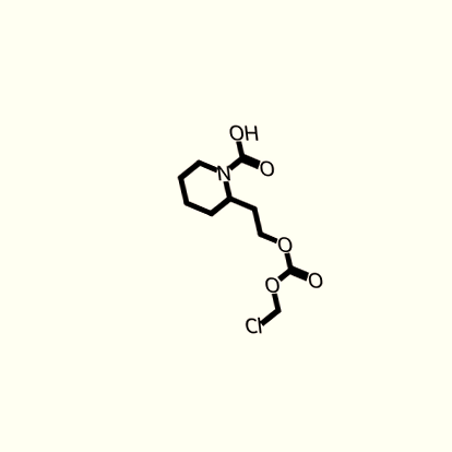 O=C(OCCl)OCCC1CCCCN1C(=O)O